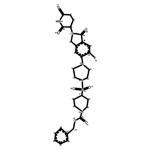 O=C1CCC(N2Cc3cc(N4CCN(S(=O)(=O)C5CCN(C(=O)OCc6ccccc6)CC5)CC4)c(F)cc3C2=O)C(=O)N1